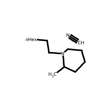 C#N.CCCCCCCCN1CCCCC1C